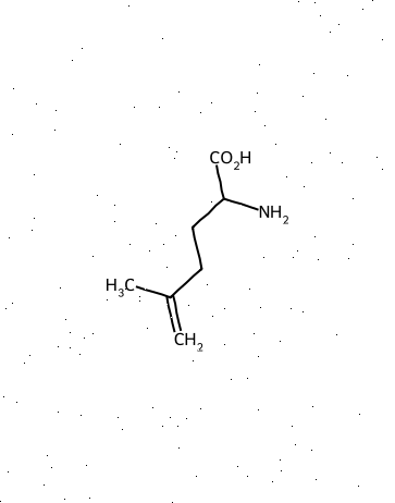 C=C(C)CCC(N)C(=O)O